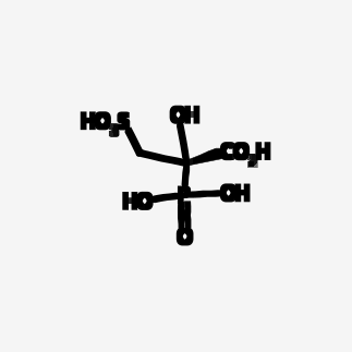 O=C(O)[C@](O)(CS(=O)(=O)O)P(=O)(O)O